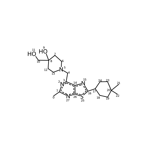 Cc1nc(CN2CCC(O)(CO)CC2)c2nc(C3CCC(C)(C)CC3)sc2n1